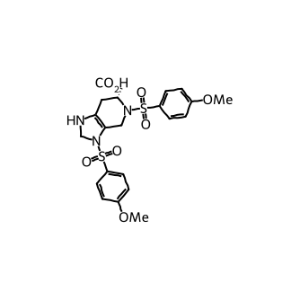 COc1ccc(S(=O)(=O)N2CNC3=C2CN(S(=O)(=O)c2ccc(OC)cc2)[C@@H](C(=O)O)C3)cc1